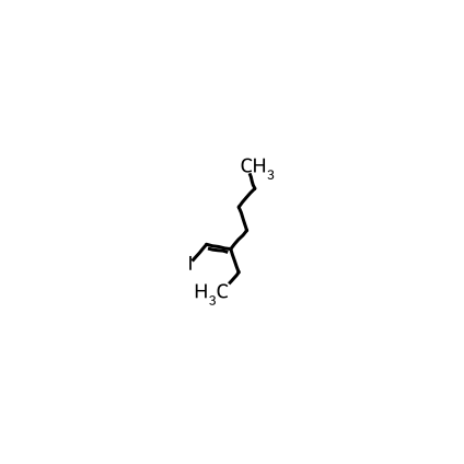 CCCCC(=CI)CC